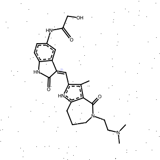 Cc1c(/C=C2\C(=O)Nc3ccc(NC(=O)CO)cc32)[nH]c2c1C(=O)N(CCN(C)C)CCC2